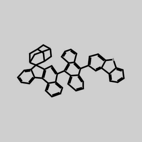 c1ccc2c(c1)-c1c(cc(-c3c4ccccc4c(-c4ccc5sc6ccccc6c5c4)c4ccccc34)c3ccccc13)C21C2CC3CC(C2)CC1C3